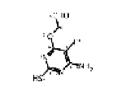 Nc1nc(S)nc(OCC=O)c1I